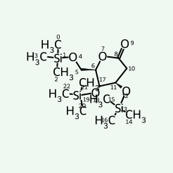 C[Si](C)(C)OC[C@H]1OC(=O)C[C@@H](O[Si](C)(C)C)[C@@H]1O[Si](C)(C)C